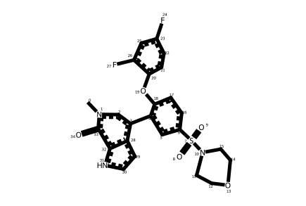 Cn1cc(-c2cc(S(=O)(=O)N3CCOCC3)ccc2Oc2ccc(F)cc2F)c2cc[nH]c2c1=O